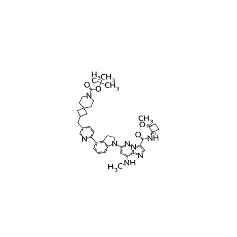 CNc1cc(N2CCc3c(-c4ccc(CC5CC6(CCN(C(=O)OC(C)(C)C)CC6)C5)cn4)cccc32)nn2c(C(=O)N[C@@H]3CC[C@H]3OC)cnc12